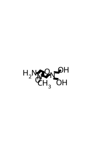 COn1c(N)cc2oc(N(CCO)CCO)cc21